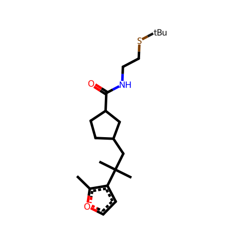 Cc1occc1C(C)(C)CC1CCC(C(=O)NCCSC(C)(C)C)C1